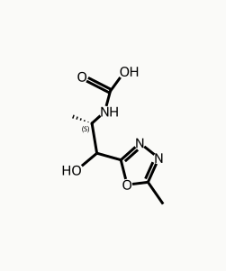 Cc1nnc(C(O)[C@H](C)NC(=O)O)o1